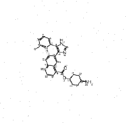 Cc1cccc(-c2[nH]cnc2-c2ccc3nccc(C(=O)OC4CCC(N)CC4)c3c2)n1